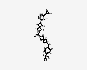 CP(C)(=O)c1ccc(CC2CC3(C2)CN(C(=O)N2CC4(CC(c5nnc(C6CC6)[nH]5)C4)C2)C3)cc1